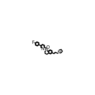 O=C(c1ccc(-c2ccc(F)cc2)cn1)N1CCCc2cc(/C=C/CN3CCCC3)ccc21